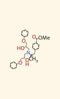 COC(=O)c1ccc(C[C@@H](C)N(CC(O)COc2ccccc2)CC(O)COc2ccccc2)cc1